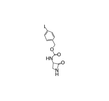 O=C(NC1CNC1=O)OCc1ccc(I)cc1